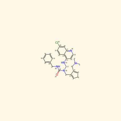 CN(C)CC1=CCC=C1CN(CNc1ccnc2cc(Cl)ccc12)C(=O)NCc1ccccc1